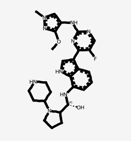 COc1nn(C)cc1Nc1ncc(F)c(-c2c[nH]c3c(N[C@H](O)C4CCCN4C4CCNCC4)cccc23)n1